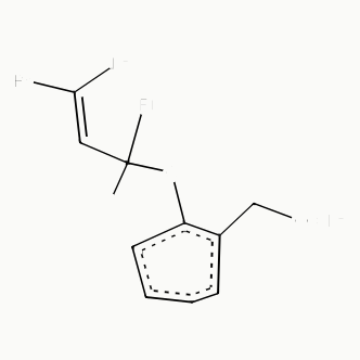 CCOC(=O)Cc1ccccc1OC(C)(/C=C(/Br)CC)CC